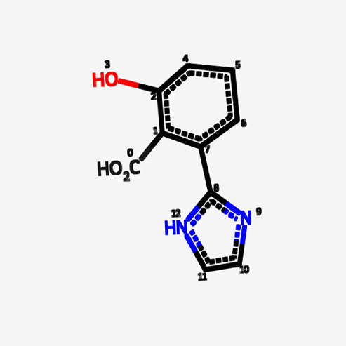 O=C(O)c1c(O)cccc1-c1ncc[nH]1